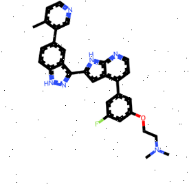 Cc1ccncc1-c1ccc2[nH]nc(-c3cc4c(-c5cc(F)cc(OCCN(C)C)c5)ccnc4[nH]3)c2c1